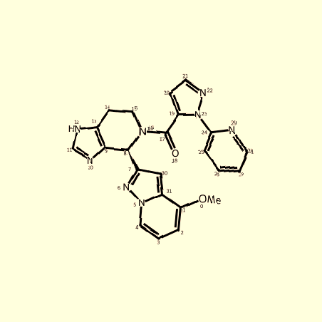 COc1cccn2nc([C@H]3c4nc[nH]c4CCN3C(=O)c3ccnn3-c3ccccn3)cc12